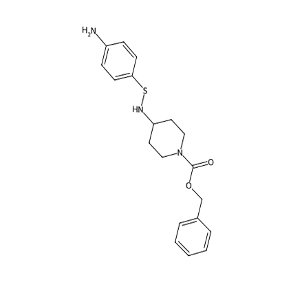 Nc1ccc(SNC2CCN(C(=O)OCc3ccccc3)CC2)cc1